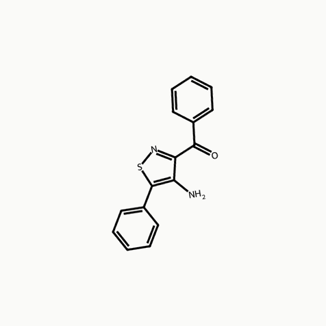 Nc1c(C(=O)c2ccccc2)nsc1-c1ccccc1